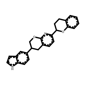 c1ccc2c(c1)CCC(c1ccc3c(n1)OCC(c1ccc4[nH]ccc4c1)C3)O2